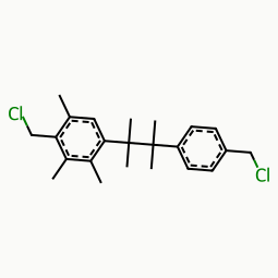 Cc1cc(C(C)(C)C(C)(C)c2ccc(CCl)cc2)c(C)c(C)c1CCl